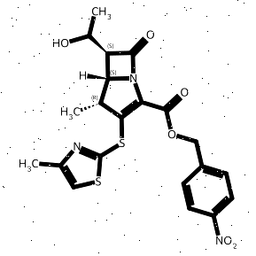 Cc1csc(SC2=C(C(=O)OCc3ccc([N+](=O)[O-])cc3)N3C(=O)[C@H](C(C)O)[C@H]3[C@H]2C)n1